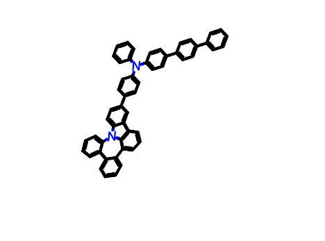 c1ccc(-c2ccc(-c3ccc(N(c4ccccc4)c4ccc(-c5ccc6c(c5)c5cccc7c5n6-c5ccccc5-c5ccccc5-7)cc4)cc3)cc2)cc1